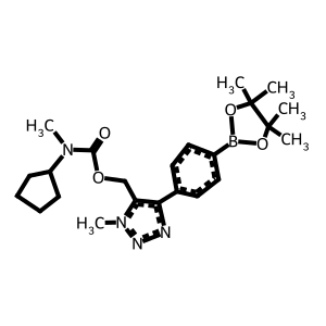 CN(C(=O)OCc1c(-c2ccc(B3OC(C)(C)C(C)(C)O3)cc2)nnn1C)C1CCCC1